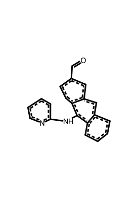 O=Cc1ccc2c(Nc3ccccn3)c3ccccc3cc2c1